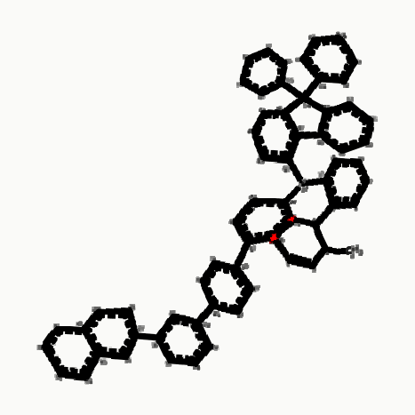 CC1C=CC=CC1c1ccccc1N(c1ccc(-c2ccc(-c3cccc(-c4ccc5ccccc5c4)c3)cc2)cc1)c1cccc2c1-c1ccccc1C2(c1ccccc1)c1ccccc1